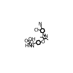 Cc1nn(-c2ccc(C#N)c(Cl)c2)c(C)c1Oc1ccc(C2=NNC(C)(C(=O)O)O2)cc1